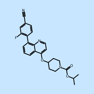 CC(C)OC(=O)N1CCC(Oc2ccnc3c(-c4ccc(C#N)cc4F)cccc23)CC1